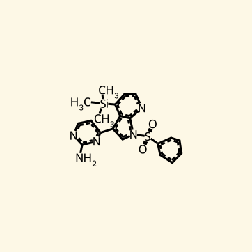 C[Si](C)(C)c1ccnc2c1c(-c1ccnc(N)n1)cn2S(=O)(=O)c1ccccc1